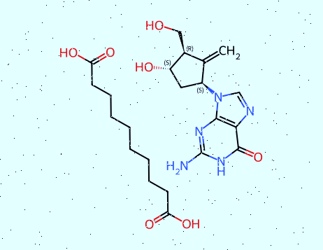 C=C1[C@H](CO)[C@@H](O)C[C@@H]1n1cnc2c(=O)[nH]c(N)nc21.O=C(O)CCCCCCCCC(=O)O